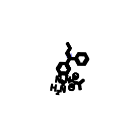 CC/C=C(\c1ccccc1)c1ccc2nc(N)n(S(=O)(=O)C(C)C)c2c1